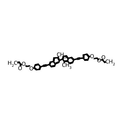 C=CC(=O)OCCOc1ccc(C#Cc2ccc3cc(-c4ccc5cc(C#Cc6ccc(OCCOC(=O)C=C)cc6)ccc5c4C)c(C)cc3c2)cc1